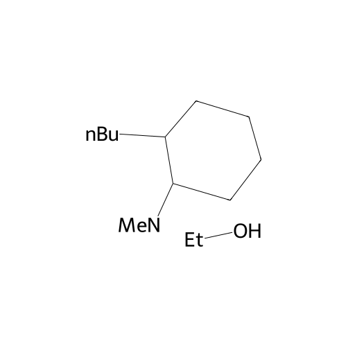 CCCCC1CCCCC1NC.CCO